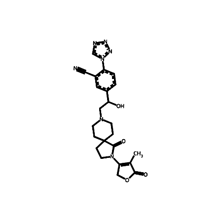 CC1=C(N2CCC3(CCN(CC(O)c4ccc(-n5cnnn5)c(C#N)c4)CC3)C2=O)COC1=O